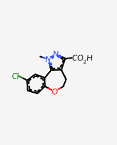 Cn1nc(C(=O)O)c2c1-c1cc(Cl)ccc1OCC2